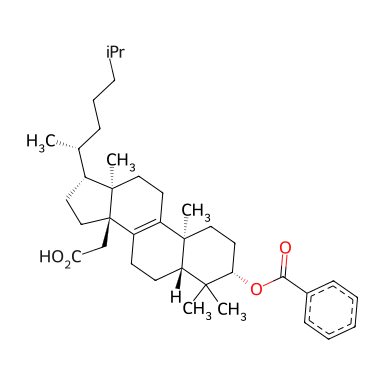 CC(C)CCC[C@@H](C)[C@H]1CC[C@@]2(CC(=O)O)C3=C(CC[C@]12C)[C@@]1(C)CC[C@H](OC(=O)c2ccccc2)C(C)(C)[C@@H]1CC3